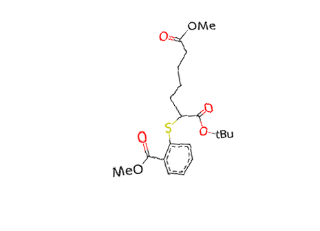 COC(=O)CCCCC(Sc1ccccc1C(=O)OC)C(=O)OC(C)(C)C